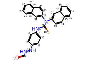 O=CNNc1ccc(NC(=S)N(c2ccc3ccccc3c2)c2ccc3ccccc3c2)cc1